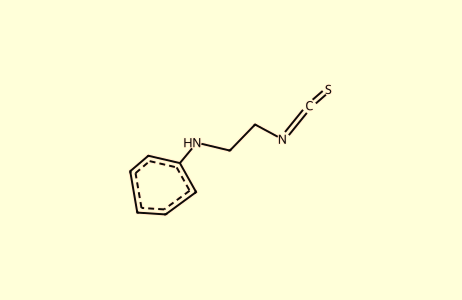 S=C=NCCNc1ccccc1